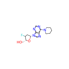 OC[C@H]1O[C@@H](n2cnc3c(N4CCCCC4)ncnc32)C[C@@H]1F